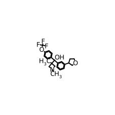 CN1CC(C)(C(O)(c2ccc(OC(F)(F)F)cc2)c2cccc(C3CCOC3)c2)C1